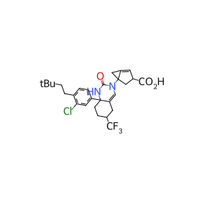 CC(C)(C)CCc1ccc(C23CCC(C(F)(F)F)CC2=CN(C24CC2=CC(C(=O)O)C4)C(=O)N3)cc1Cl